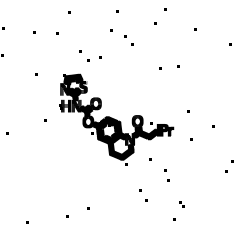 CC(C)CC(=O)N1CCCc2cc(OC(=O)Nc3nccs3)ccc21